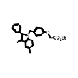 CCOC(=O)COc1ccc(Cn2c(-c3ccccc3)c(C)c3cc(C)ccc32)cc1